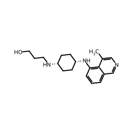 Cc1cncc2cccc(N[C@H]3CC[C@@H](NCCCO)CC3)c12